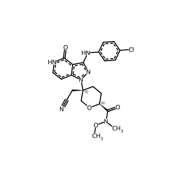 CON(C)C(=O)[C@@H]1CC[C@@](CC#N)(n2nc(Nc3ccc(Cl)cc3)c3c(=O)[nH]ccc32)CO1